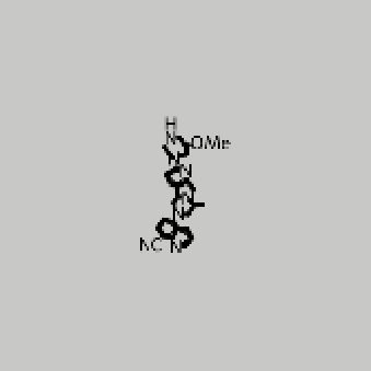 COC1CNCCN(c2ccc3c(n2)CN2C(C)CN(c4ccc(C#N)c5ncccc45)CC32)C1